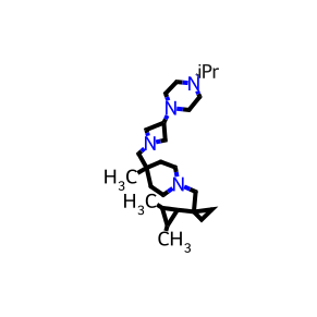 CC1C(C)C1C1(CN2CCC(C)(CN3CC(N4CCN(C(C)C)CC4)C3)CC2)CC1